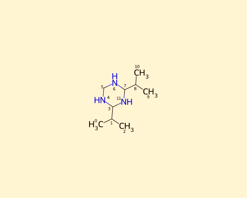 CC(C)C1NCNC(C(C)C)N1